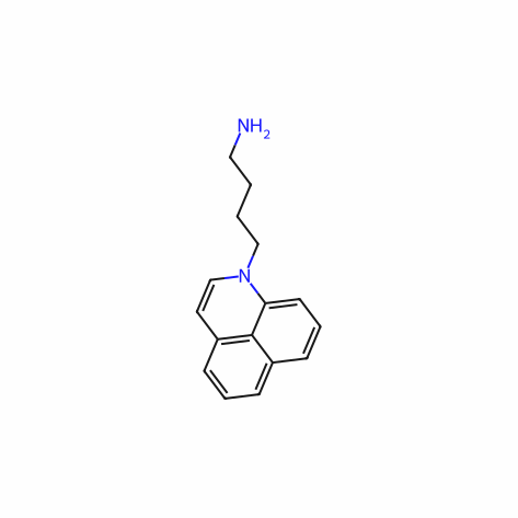 NCCCCN1C=Cc2cccc3cccc1c23